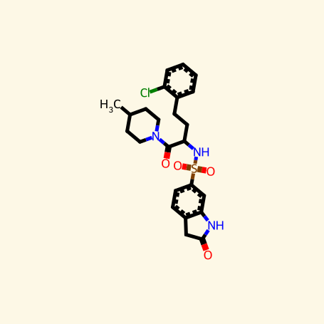 CC1CCN(C(=O)C(CCc2ccccc2Cl)NS(=O)(=O)c2ccc3c(c2)NC(=O)C3)CC1